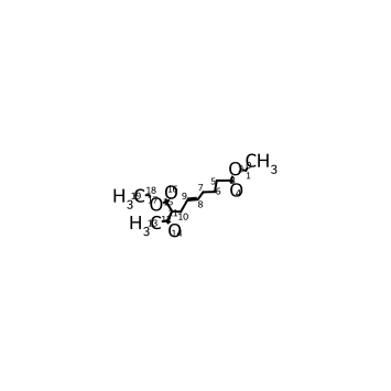 CCOC(=O)CCC/C=C/CC(C(C)=O)C(=O)OCC